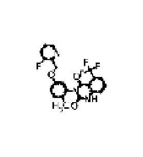 Cc1ccc(OCc2ncccc2F)cc1-n1c(=O)[nH]c2cccc(C(F)(F)F)c2c1=O